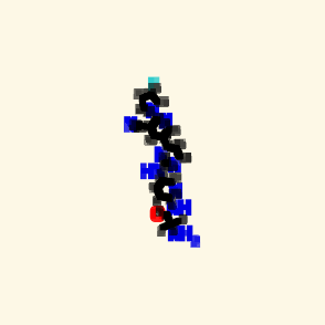 CC(C)(N)C(=O)Nc1ccc(Nc2nccc(-c3cnc(N4CCC(F)C4)c(C#N)c3)n2)cn1